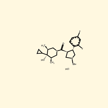 C[C@@H]1CN(C(=O)[C@@H]2CN(C(C)(C)C)C[C@H]2c2ccc(F)cc2F)C[C@H](C)[C@]1(O)C1CC1.Cl